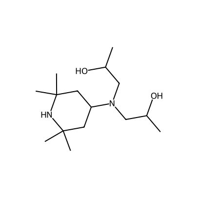 CC(O)CN(CC(C)O)C1CC(C)(C)NC(C)(C)C1